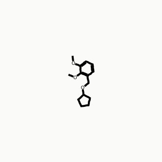 COc1cccc(COC2CCCC2)c1OC